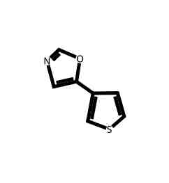 c1ncc(-c2ccsc2)o1